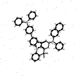 CC1(C)C2=c3c(c4cc(-c5ccc(N(c6ccccc6)c6ccccc6)cc5)ccc4n3-c3ccccc31)=CC(N(c1ccccc1)c1ccc3ccccc3c1)C2